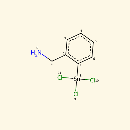 NCc1cccc[c]1[Sn]([Cl])([Cl])[Cl]